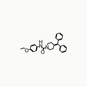 CCOc1ccc(NC(=O)N2CCC(=C(c3ccccc3)c3ccccc3)CC2)cc1